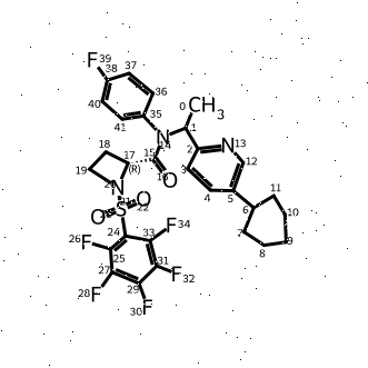 CC(c1ccc(C2CCCCC2)cn1)N(C(=O)[C@H]1CCN1S(=O)(=O)c1c(F)c(F)c(F)c(F)c1F)c1ccc(F)cc1